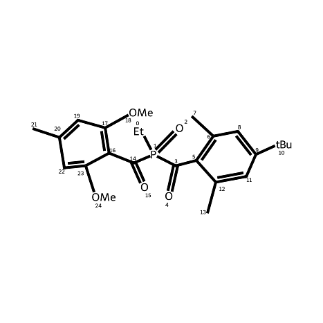 CCP(=O)(C(=O)c1c(C)cc(C(C)(C)C)cc1C)C(=O)c1c(OC)cc(C)cc1OC